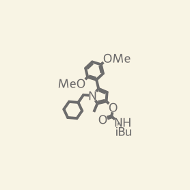 CC[C@@H](C)NC(=O)Oc1cc(-c2cc(OC)ccc2OC)n(CC2CCCCC2)c1C